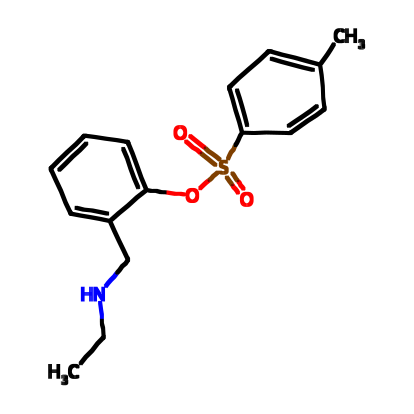 CCNCc1ccccc1OS(=O)(=O)c1ccc(C)cc1